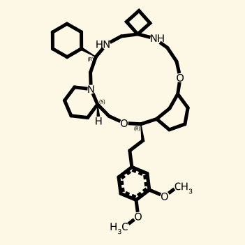 COc1ccc(CC[C@H]2OC[C@@H]3CCCCN3C[C@@H](C3CCCCC3)NCC3(CCC3)NCCOC3CCCC2C3)cc1OC